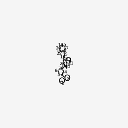 COC(=O)c1cccc(N2CCOC(/C=C/c3ccccc3C)C2)c1